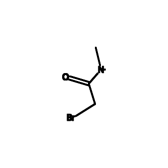 C[N]C(=O)CBr